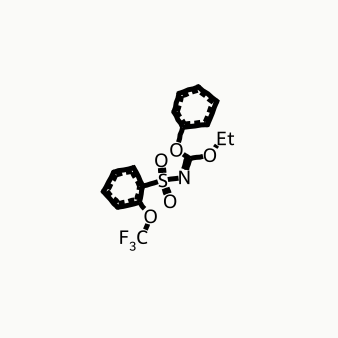 CCOC(=NS(=O)(=O)c1ccccc1OC(F)(F)F)Oc1ccccc1